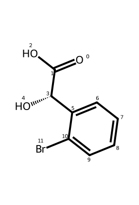 O=C(O)[C@@H](O)c1ccccc1Br